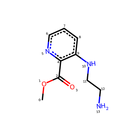 COC(=O)c1ncccc1NCCN